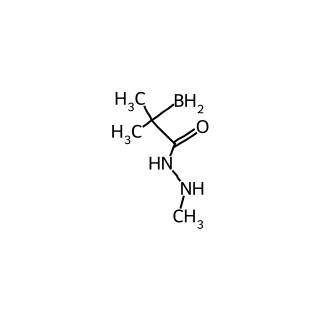 BC(C)(C)C(=O)NNC